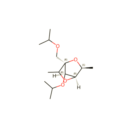 CC(C)OC[C@@]12O[C@@H](C)[C@@H](OC1C)[C@H]2OC(C)C